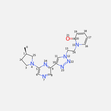 C[C@@H]1CCN(c2cncc(-c3cn(CCn4ccccc4=O)nn3)n2)C1